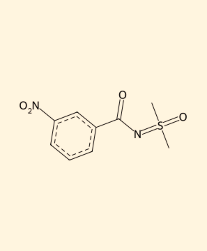 CS(C)(=O)=NC(=O)c1cccc([N+](=O)[O-])c1